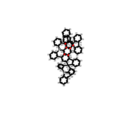 c1ccc(-c2ccccc2-c2ccccc2N(c2ccccc2-c2ccc3c(c2)C2(c4ccccc4-3)c3ccccc3-n3c4ccccc4c4cccc2c43)c2cccc3c2-c2ccccc2C32c3ccccc3-c3ccccc32)cc1